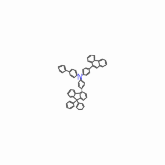 c1ccc(-c2ccc(N(c3ccc(-c4cccc5c4-c4ccccc4C5(c4ccccc4)c4ccccc4)cc3)c3ccc(-c4cc5ccccc5c5ccccc45)cc3)cc2)cc1